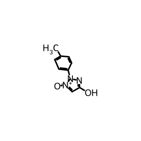 Cc1ccc(-n2nc(O)c[n+]2[O-])cc1